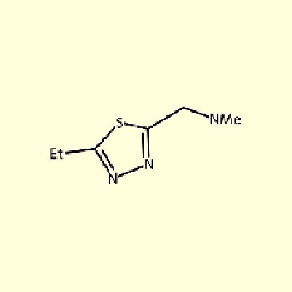 CCc1nnc(CNC)s1